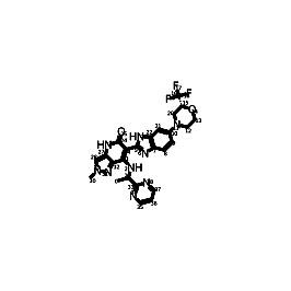 CC(Nc1c(-c2nc3ccc(N4CCO[C@@H](C(F)(F)F)C4)cc3[nH]2)c(=O)[nH]c2cn(C)nc12)c1ncccn1